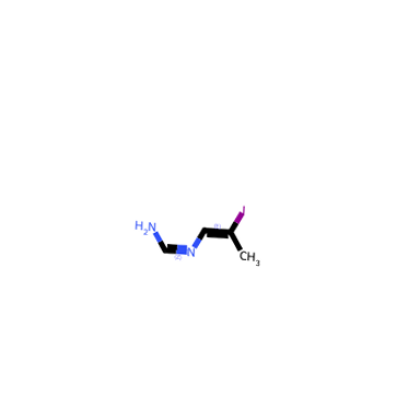 C/C(I)=C\N=C/N